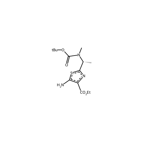 CCOC(=O)c1nc([C@@H](C)N(C)C(=O)OC(C)(C)C)sc1N